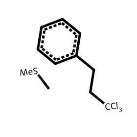 CSC.ClC(Cl)(Cl)CCc1ccccc1